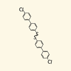 Clc1ccc(-c2ccc(SSc3ccc(-c4ccc(Cl)cc4)cc3)cc2)cc1